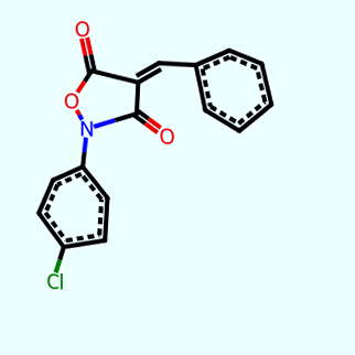 O=C1ON(c2ccc(Cl)cc2)C(=O)C1=Cc1ccccc1